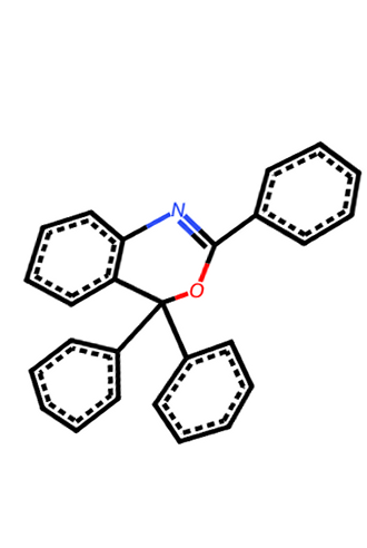 c1ccc(C2=Nc3ccccc3C(c3ccccc3)(c3ccccc3)O2)cc1